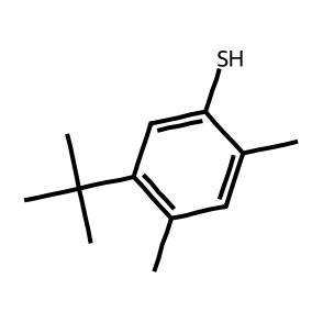 Cc1cc(C)c(C(C)(C)C)cc1S